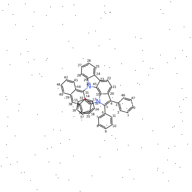 c1ccc(-c2c(-c3ccccc3)n(-c3ccccc3)c3c2ccc2c4ccccc4n(-c4c5ccccc5cc5ccccc45)c23)cc1